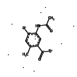 CC(=O)Nc1cc([N+](=O)[O-])c(C)c[n+]1[O-]